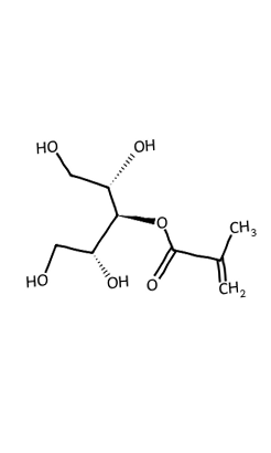 C=C(C)C(=O)O[C@@H]([C@H](O)CO)[C@@H](O)CO